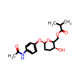 CC(=O)Nc1ccc(O[C@@H]2CC[C@H](O)C(COC(=O)C(C)C)O2)cc1